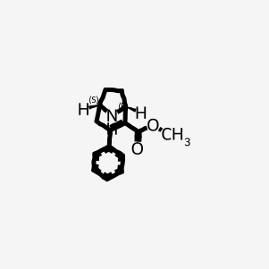 COC(=O)C1=C(c2ccccc2)C[C@@H]2CC[C@H]1N2